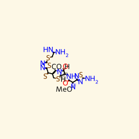 CO/N=C(\C(=O)N[C@@H]1C(=O)N2C(C(=O)O)=C(C(=S)c3nnc(SCC(=N)N)s3)CS[C@@H]12)c1nsc(N)n1